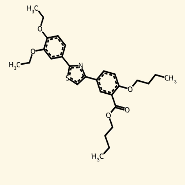 CCCCOC(=O)c1cc(-c2csc(-c3ccc(OCC)c(OCC)c3)n2)ccc1OCCCC